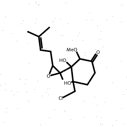 COC1C(=O)CCC(O)(CCl)C1(O)C1(C)OC1CC=C(C)C